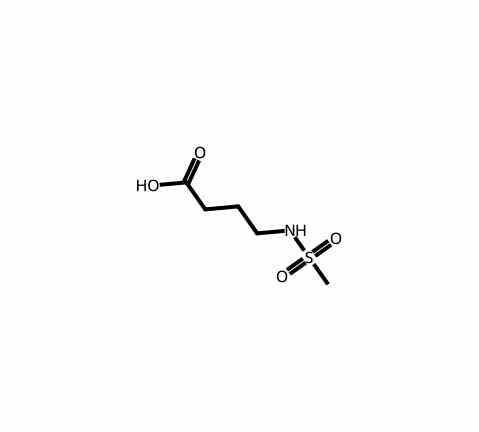 CS(=O)(=O)NCCCC(=O)O